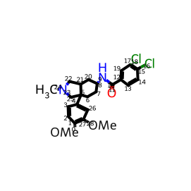 COc1ccc(C23CCC(NC(=O)c4ccc(Cl)c(Cl)c4)CC2CN(C)C3)cc1OC